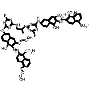 CC(CNc1nc(F)nc(Nc2ccc3c(O)c(/N=N/c4ccc5c(SOOO)cccc5c4S(=O)(=O)O)c(SOOO)cc3c2)n1)Nc1nc(F)nc(Nc2ccc3c(O)c(/N=N/c4ccc5c(S(=O)(=O)O)cccc5c4S(=O)(=O)O)c(S(=O)(=O)O)cc3c2)n1